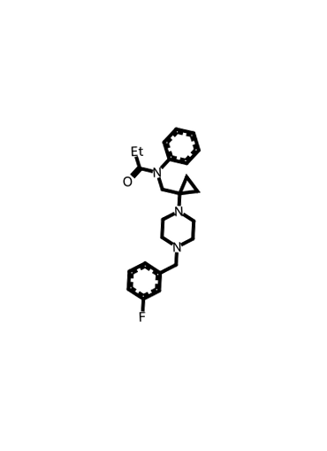 CCC(=O)N(CC1(N2CCN(Cc3cccc(F)c3)CC2)CC1)c1ccccc1